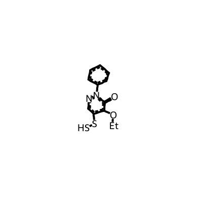 CCOc1c(SS)cnn(-c2ccccc2)c1=O